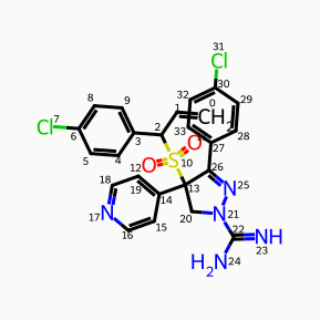 C=CC(c1ccc(Cl)cc1)S(=O)(=O)C1(c2ccncc2)CN(C(=N)N)N=C1c1ccc(Cl)cc1